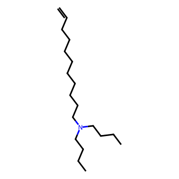 C=CCCCCCCCCCN(CCCC)CCCC